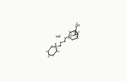 Br.C[N+]1(CCCC[N+]23CCC(CC2)C(O)C3)CCCCC1